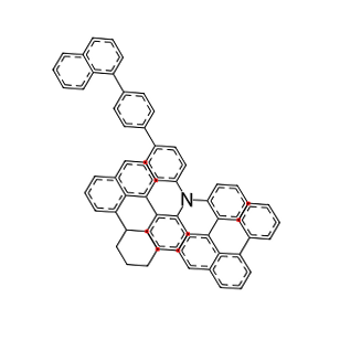 c1ccc(-c2cccc3cccc(-c4ccccc4N(c4ccc(-c5ccc(-c6cccc7ccccc67)cc5)cc4)c4ccccc4-c4cccc5cccc(C6CCCCC6)c45)c23)cc1